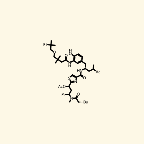 CC[C@H](C)CC(=O)N(C)C(C[C@@H](OC(C)=O)c1nc(C(=O)N[C@@H](Cc2ccc(O)c(NC(=O)CC(C)(C)COCC(C)(C)CC)c2)CC(C)C(C)=O)cs1)C(C)C